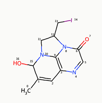 CC1=Cc2ncc(=O)n3c2N(CC3CI)C1O